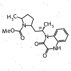 COC(=O)N1C(C)CCC1C[C@@H](C)n1c(=O)c(=O)[nH]c2ccccc21